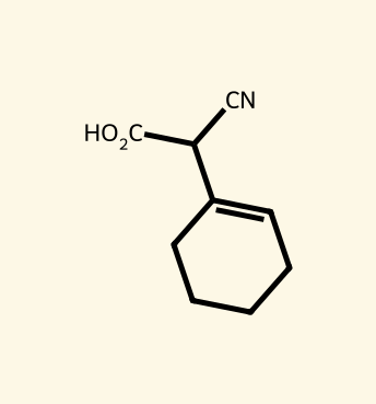 N#CC(C(=O)O)C1=CCCCC1